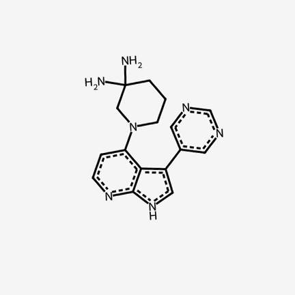 NC1(N)CCCN(c2ccnc3[nH]cc(-c4cncnc4)c23)C1